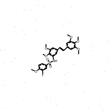 COc1ccc(S(=O)(=O)Nc2cc(C=Cc3cc(OC)c(OC)c(OC)c3)cc(OC)c2OC)cc1F